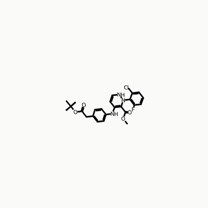 COC(=O)C1=C(Nc2ccc(CC(=O)OC(C)(C)C)cc2)C=CNN1c1c(F)cccc1Cl